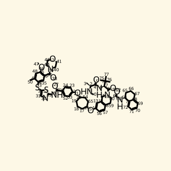 CN[C@@H](C)C(=O)N[C@H](C(=O)N1Cc2cc(OC3CCCC(Oc4ccc(C(=O)Nc5ncc(Sc6cc(C(=O)N7CCOCC7)c(OC)cc6C)s5)cc4)CC3)ccc2C[C@H]1C(=O)N[C@@H]1CCCc2ccccc21)C(C)(C)C